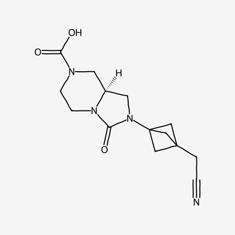 N#CCC12CC(N3C[C@@H]4CN(C(=O)O)CCN4C3=O)(C1)C2